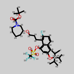 CC(C)[Si](Oc1cc(OS(=O)(=O)C(F)(F)F)c2c(CCCO[C@@H]3CCCCN(C(=O)OC(C)(C)C)C3)c(F)ccc2c1)(C(C)C)C(C)C